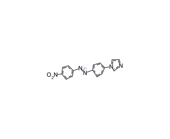 O=[N+]([O-])c1ccc(/N=N/c2ccc(-n3ccnc3)cc2)cc1